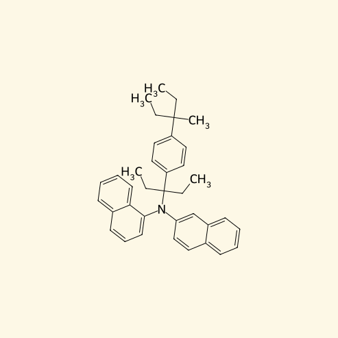 CCC(C)(CC)c1ccc(C(CC)(CC)N(c2ccc3ccccc3c2)c2cccc3ccccc23)cc1